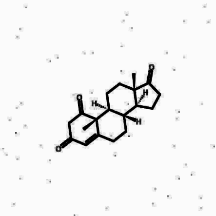 C[C@]12C(=O)CC(=O)C=C1CC[C@@H]1[C@@H]2CC[C@]2(C)C(=O)CC[C@@H]12